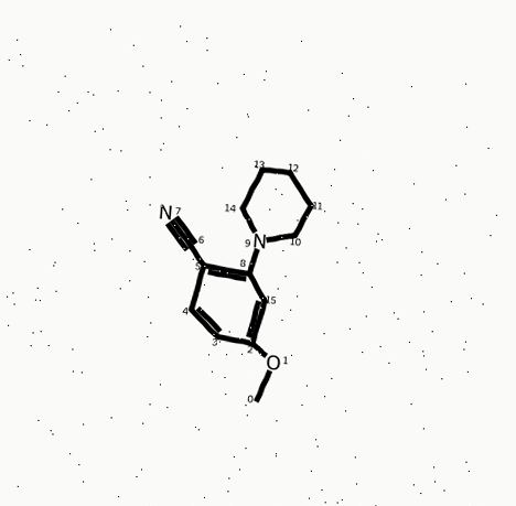 COc1ccc(C#N)c(N2CCCCC2)c1